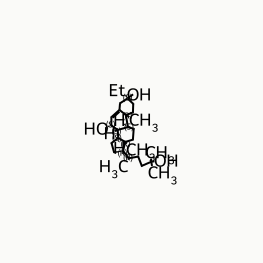 CC[C@]1(O)CC[C@@]2(C)C(=C[C@@H](O)[C@H]3[C@@H]4CC[C@H]([C@H](C)CCC(C)(C)O)[C@@]4(C)CC[C@@H]32)C1